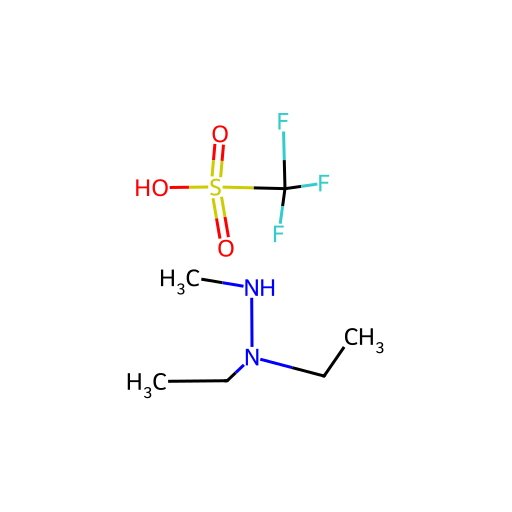 CCN(CC)NC.O=S(=O)(O)C(F)(F)F